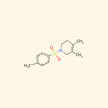 CC1=C(C)CN(S(=O)(=O)c2ccc(C)cc2)CC1